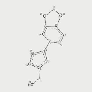 OCc1cc(-c2ccc3c(c2)OCO3)no1